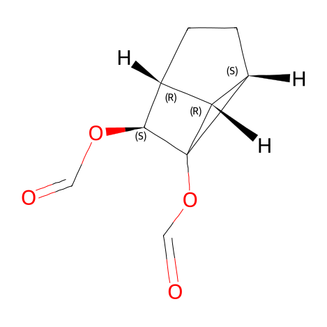 O=CO[C@H]1[C@@H]2CC[C@H]3[C@@H]2C31OC=O